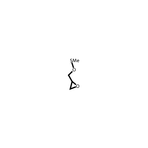 CSOCC1CO1